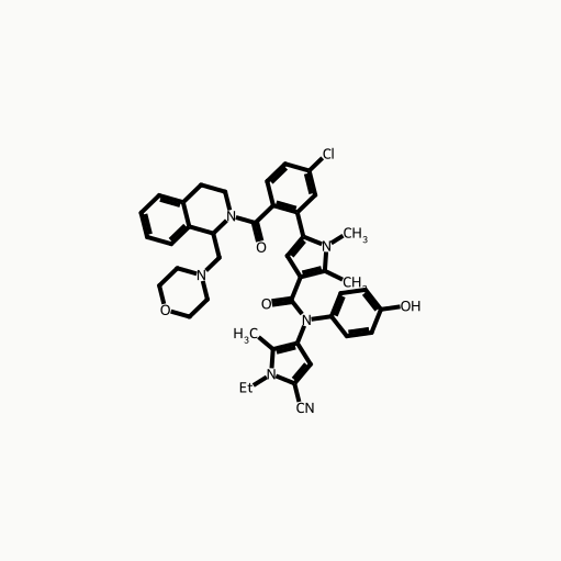 CCn1c(C#N)cc(N(C(=O)c2cc(-c3cc(Cl)ccc3C(=O)N3CCc4ccccc4C3CN3CCOCC3)n(C)c2C)c2ccc(O)cc2)c1C